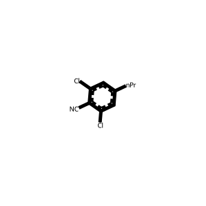 CCCc1cc(Cl)c(C#N)c(Cl)c1